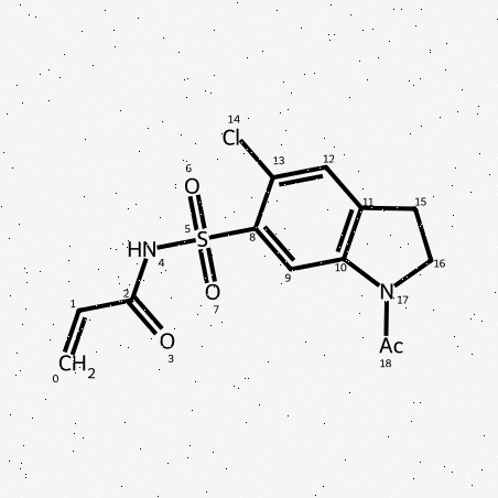 C=CC(=O)NS(=O)(=O)c1cc2c(cc1Cl)CCN2C(C)=O